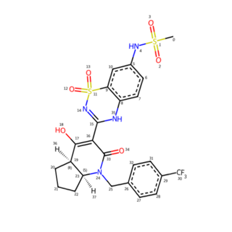 CS(=O)(=O)Nc1ccc2c(c1)S(=O)(=O)N=C(C1=C(O)[C@@H]3CCC[C@@H]3N(Cc3ccc(C(F)(F)F)cc3)C1=O)N2